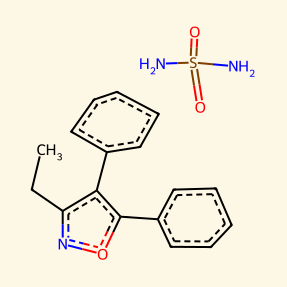 CCc1noc(-c2ccccc2)c1-c1ccccc1.NS(N)(=O)=O